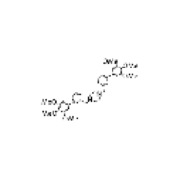 COc1cc(-c2cccc(CN3CCN(Cc4cccc(-c5cc(OC)c(OC)c(OC)c5)c4)CC3)c2)cc(OC)c1OC